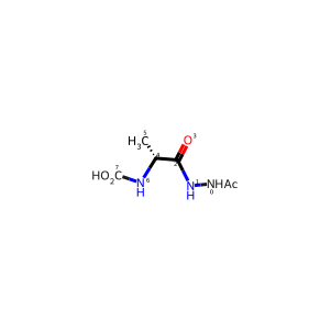 CC(=O)NNC(=O)[C@@H](C)NC(=O)O